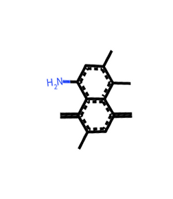 C=c1cc(C)c(=C)c2c(N)cc(C)c(C)c12